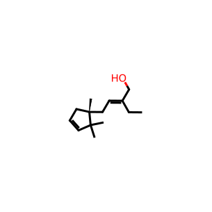 CC/C(=C\C[C@@]1(C)CC=CC1(C)C)CO